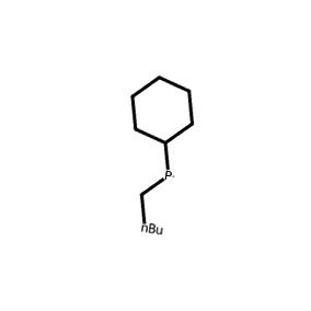 CCCCC[P]C1CCCCC1